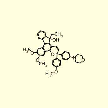 CCC1(O)c2ccccc2-c2c1c1c(c3cc(OC)c(OC)cc23)OC(c2ccc(OC)cc2)(c2ccc(N3CCOCC3)cc2)C=C1